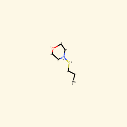 CC(=O)CCSN1CCOCC1